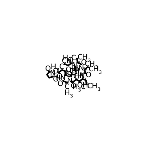 CC(C)CC(=O)N[C@@H](C(=O)N[C@H](C(=O)NC(CC(C)C)[C@H](O)CC(=O)N[C@H](C)C(=O)N[C@H](CC(C)C)[C@H](O)CC(=O)ON1C(=O)CCC1=O)C(C)C)C(C)C